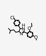 CCOc1cc(OC)ccc1C1=NC(CCC(C)C)C(c2ccc(Cl)cc2)N1